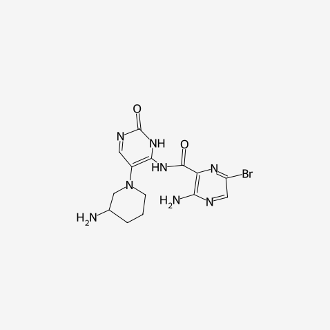 Nc1ncc(Br)nc1C(=O)Nc1[nH]c(=O)ncc1N1CCCC(N)C1